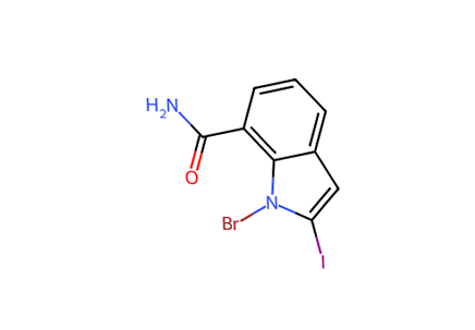 NC(=O)c1cccc2cc(I)n(Br)c12